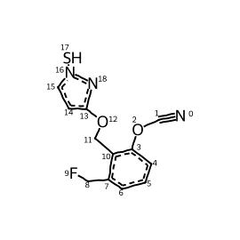 N#COc1cccc(CF)c1COc1ccn(S)n1